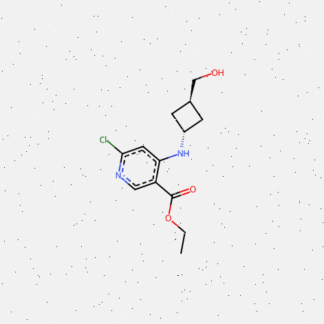 CCOC(=O)c1cnc(Cl)cc1N[C@H]1C[C@H](CO)C1